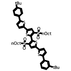 CCCCCCCCS(=O)(=O)c1cc(-c2ccc(-c3ccc(C(C)(C)C)cc3)s2)sc1-c1sc(-c2ccc(-c3cccc(C(C)(C)C)c3)s2)cc1S(=O)(=O)CCCCCCCC